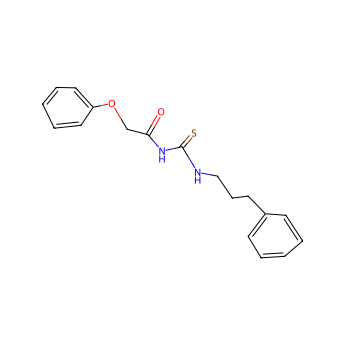 O=C(COc1ccccc1)NC(=S)NCCCc1ccccc1